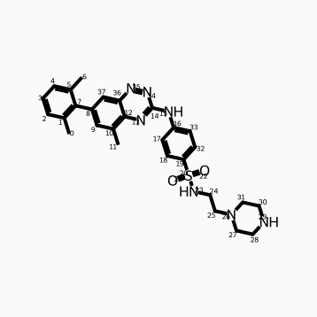 Cc1cccc(C)c1-c1cc(C)c2nc(Nc3ccc(S(=O)(=O)NCCN4CCNCC4)cc3)nnc2c1